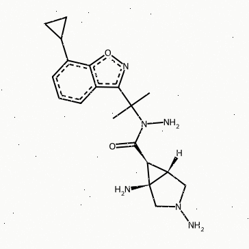 CC(C)(c1noc2c(C3CC3)cccc12)N(N)C(=O)[C@H]1[C@@H]2CN(N)C[C@@]21N